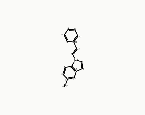 Brc1ccc2c(ccn2C=Cc2ccccc2)c1